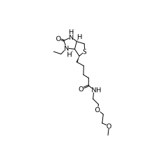 CCN1C(=O)N[C@H]2CS[C@@H](CCCCC(=O)NCCOCCOC)[C@H]21